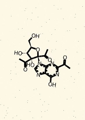 CC(=O)c1nc(O)c2ncn([C@]3(C(C)=O)O[C@H](CO)[C@@H](O)[C@]3(O)C(C)=O)c2n1